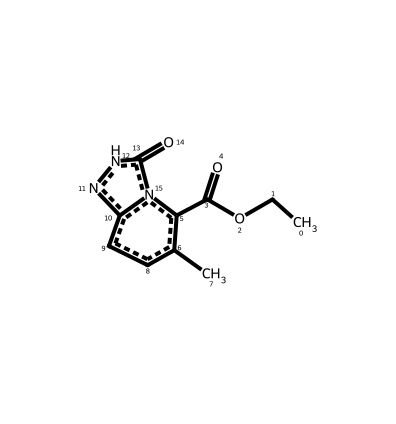 CCOC(=O)c1c(C)ccc2n[nH]c(=O)n12